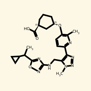 Cc1nc(-c2nnn(C)c2CNc2noc(C(C)C3CC3)n2)ccc1O[C@H]1CCC[C@H](C(=O)O)C1